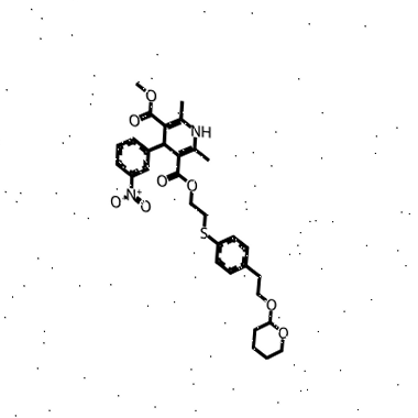 COC(=O)C1=C(C)NC(C)=C(C(=O)OCCSc2ccc(CCOC3CCCCO3)cc2)C1c1cccc([N+](=O)[O-])c1